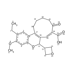 CCc1cc2c(cc1OC)OC(C1COC1)C1=C2CCCCC(=O)/C(C(=O)O)=C\1